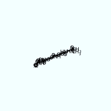 CN[C@@H](CCCCNC(=O)COCCOCCNC(=O)COCCOCCNC(=O)CC[C@H](NC(=O)C1CCCCC1)C(=O)O)C(C)=O